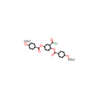 CCCCCCCCOc1ccc(C(=O)Oc2ccc(OC(=O)c3ccc(OCCCCCCCC)cc3)c(C(=O)Cl)c2)cc1